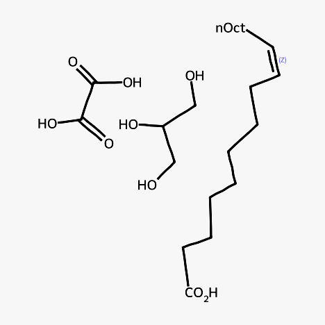 CCCCCCCC/C=C\CCCCCCCC(=O)O.O=C(O)C(=O)O.OCC(O)CO